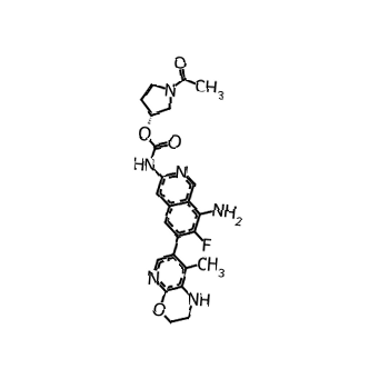 CC(=O)N1CC[C@@H](OC(=O)Nc2cc3cc(-c4cnc5c(c4C)NCCO5)c(F)c(N)c3cn2)C1